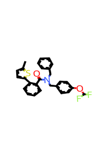 Cc1ccc(-c2ccccc2C(=O)N(Cc2ccccc2)Cc2ccc(OC(F)F)cc2)s1